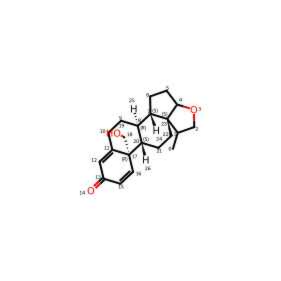 CC1COC2CC[C@H]3[C@@H]4CCC5=CC(=O)C=C[C@]5(CO)[C@H]4CC[C@]123